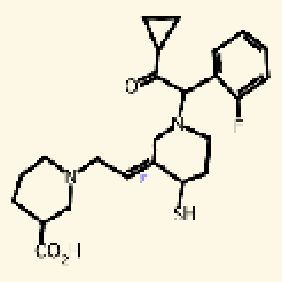 O=C(O)C1CCCN(C/C=C2\CN(C(C(=O)C3CC3)c3ccccc3F)CCC2S)C1